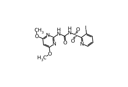 COc1cc(OC)nc(NC(=O)NS(=O)(=O)c2ncccc2I)n1